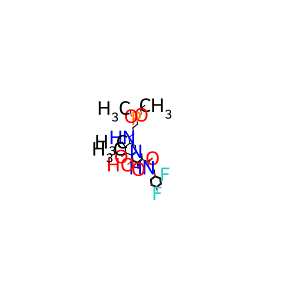 CCOP(CCCNC1Cn2cc(C(=O)NCc3ccc(F)cc3F)c(=O)c(O)c2C(=O)C1(C)C)OCC